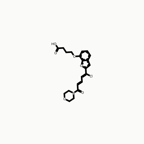 O=C(O)CCCOc1cccc2cc(C(Cl)=CC=CC(=O)N3CCOCC3)oc12